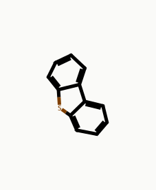 [c]1ccc2c(c1)sc1[c]cccc12